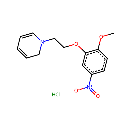 COc1ccc([N+](=O)[O-])cc1OCCN1C=CC=CC1.Cl